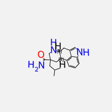 CC(C)CC1(C(N)=O)CN[C@@H]2Cc3c[nH]c4cccc(c34)[C@H]2C1